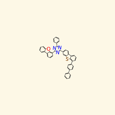 c1ccc(-c2ccc(-c3cccc4c3sc3cc(-c5nc(-c6ccccc6)nc(-c6cccc7c6oc6ccccc67)n5)ccc34)cc2)cc1